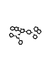 c1ccc(-c2cc(-c3ccccc3)nc(-c3cc(-c4ccc(N(c5ccccc5)c5cccc6ccccc56)cc4)cc4oc5cc6ccccc6cc5c34)n2)cc1